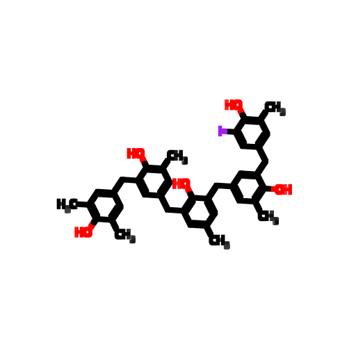 Cc1cc(Cc2cc(C)c(O)c(Cc3cc(C)c(O)c(C)c3)c2)c(O)c(Cc2cc(C)c(O)c(Cc3cc(C)c(O)c(I)c3)c2)c1